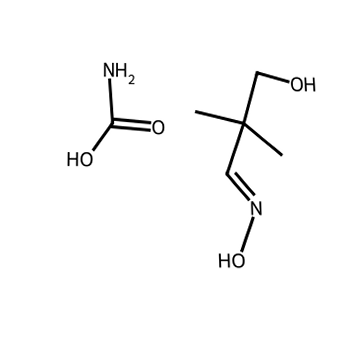 CC(C)(C=NO)CO.NC(=O)O